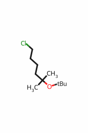 CC(C)(C)OC(C)(C)CCCCCl